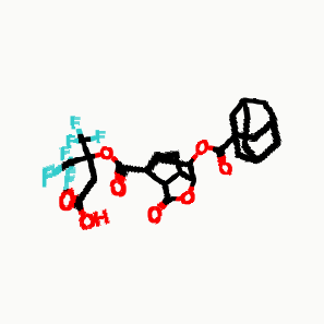 O=C(O)CC(OC(=O)C1C2CC3C(OC(=O)C31)C2OC(=O)C12CC3CC(CC(C3)C1)C2)(C(F)(F)F)C(F)(F)F